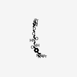 CC(C)n1cc(COCCOCCC(=O)NCCNC(=O)c2ccc(-c3cn(C(C)C)nn3)cc2)nn1